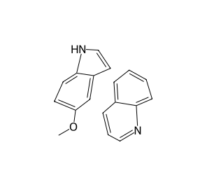 COc1ccc2[nH]ccc2c1.c1ccc2ncccc2c1